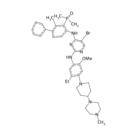 CCc1cc(Nc2ncc(Br)c(Nc3ccc(-c4ccccc4)c(C)c3P(C)(C)=O)n2)c(OC)cc1N1CCC(N2CCN(C)CC2)CC1